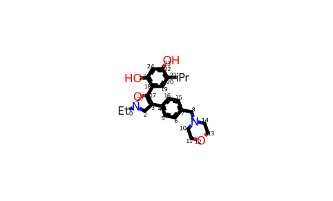 CCN1CC(c2ccc(CN3CCOCC3)cc2)=C(c2cc(C(C)C)c(O)cc2O)O1